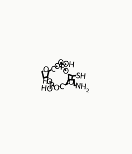 NCCC1C2COP(O)O[C@@H]3CCOC3COP(=O)(O)OC1C(S)O2